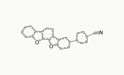 N#Cc1ccc(-c2ccc3oc4c(ccc5c6ccccc6oc54)c3c2)cc1